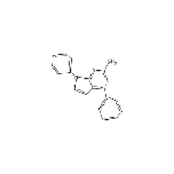 Cc1nc(-c2ccccc2)c2ccn(-c3ccccc3)c2n1